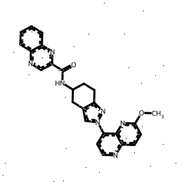 COc1ccc2nccc(-n3cc4c(n3)CCC(NC(=O)c3cnc5ccccc5n3)C4)c2n1